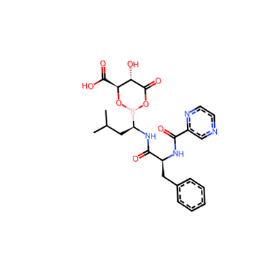 CC(C)C[C@H](NC(=O)[C@H](Cc1ccccc1)NC(=O)c1cnccn1)B1OC(=O)[C@@H](O)[C@H](C(=O)O)O1